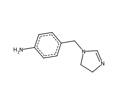 Nc1ccc(CN2C=NCC2)cc1